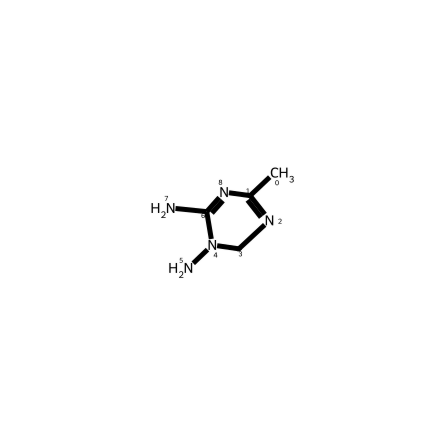 CC1=NCN(N)C(N)=N1